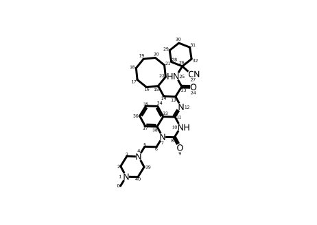 CN1CCN(CCn2c(=O)[nH]/c(=N/C(CC3CCCCCCC3)C(=O)NC3(C#N)CCCCC3)c3ccccc32)CC1